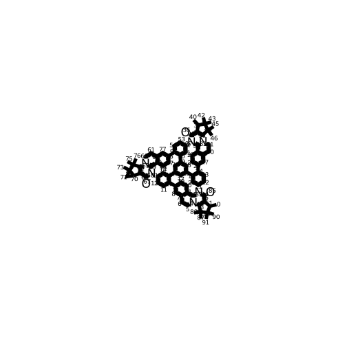 CC1c2c(n3ccc4cc(-c5ccccc5-c5cc(-c6ccccc6-c6ccc7c(ccn8c9c(c(=O)nc78)C(C)C(C)(C)C9(C)C)c6)cc(-c6ccccc6-c6ccc7c(ccn8c9c(c(=O)nc78)C7CC7(C)C9(C)C)c6)c5)ccc4c3nc2=O)C(C)(C)C1(C)C